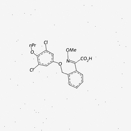 CCCOc1c(Cl)cc(OCc2ccccc2C(=NOC)C(=O)O)cc1Cl